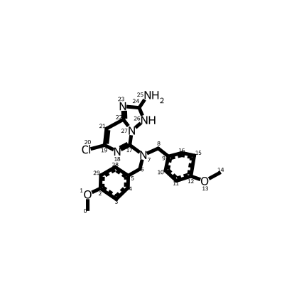 COc1ccc(CN(Cc2ccc(OC)cc2)C2=NC(Cl)=CC3=NC(N)NN32)cc1